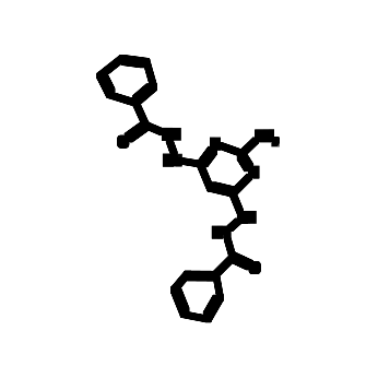 Nc1nc(NNC(=O)c2ccccc2)cc(NNC(=O)c2ccccc2)n1